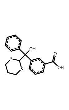 O=C(O)c1cccc(C(O)(c2ccccc2)C2SCCCS2)c1